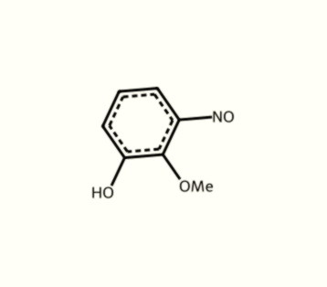 COc1c(O)cccc1N=O